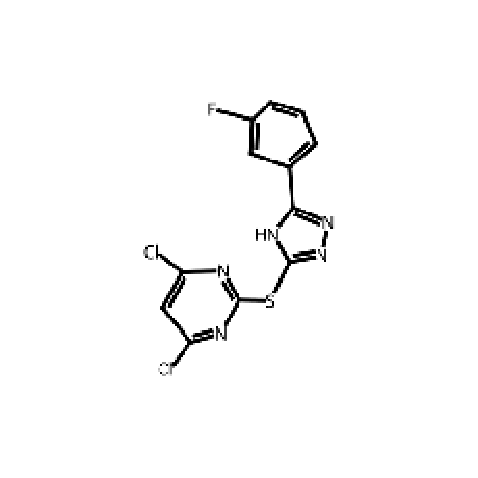 Fc1cccc(-c2nnc(Sc3nc(Cl)cc(Cl)n3)[nH]2)c1